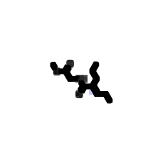 CC/C=C(\CCC)C(=O)NCC(=O)OC